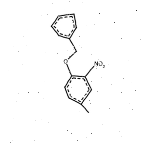 Cc1ccc(OCc2ccccc2)c([N+](=O)[O-])c1